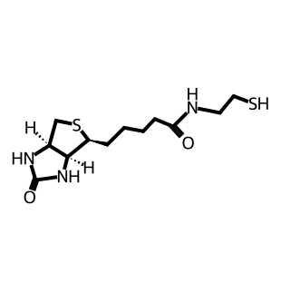 O=C(CCCC[C@@H]1SC[C@@H]2NC(=O)N[C@@H]21)NCCS